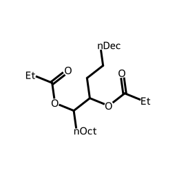 [CH2]CCCCCCCC(OC(=O)CC)C(CCCCCCCCCCCC)OC(=O)CC